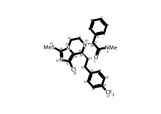 CNC(=O)[C@@H](c1ccccc1)N1CCn2c(SC)nc(Cl)c2[C@@H]1CCc1ccc(C(F)(F)F)cc1